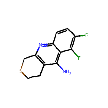 Nc1c2c(nc3ccc(F)c(F)c13)CSCC2